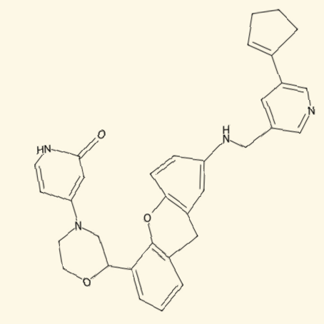 O=c1cc(N2CCOC(c3cccc4c3Oc3ccc(NCc5cncc(C6=CCCC6)c5)cc3C4)C2)cc[nH]1